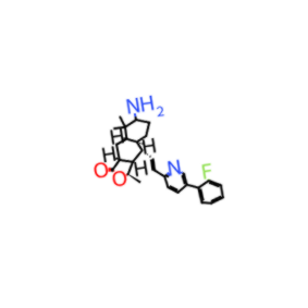 C[C@H]1OC(=O)[C@@H]2C[C@H]3[C@@H](CCC(N)C3(C)C)[C@H](/C=C/c3ccc(-c4ccccc4F)cn3)[C@H]12